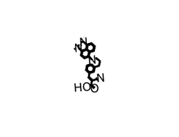 CN(C)c1cccc2c(N3CCCc4cc(/C=C(\C#N)C(=O)O)ccc43)ccc(N(C)C)c12